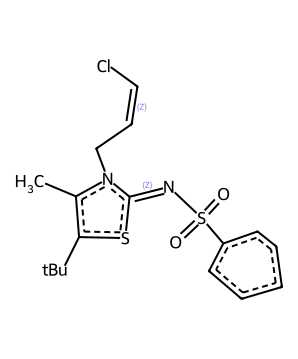 Cc1c(C(C)(C)C)s/c(=N\S(=O)(=O)c2ccccc2)n1C/C=C\Cl